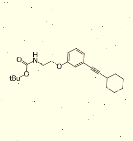 CC(C)(C)OC(=O)NCCOc1cccc(C#CC2CCCCC2)c1